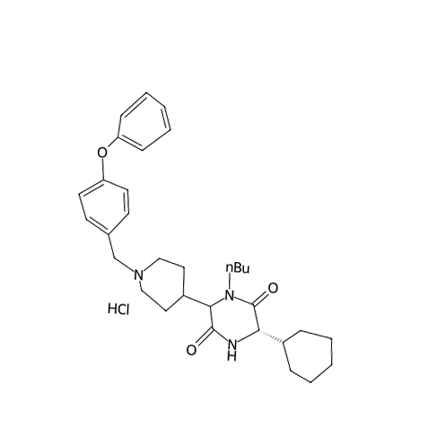 CCCCN1C(=O)[C@H](C2CCCCC2)NC(=O)C1C1CCN(Cc2ccc(Oc3ccccc3)cc2)CC1.Cl